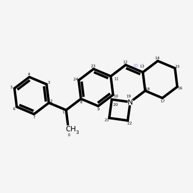 CC(c1ccccc1)c1ccc(/C=C2/CCCCC2N2CCC2)cc1